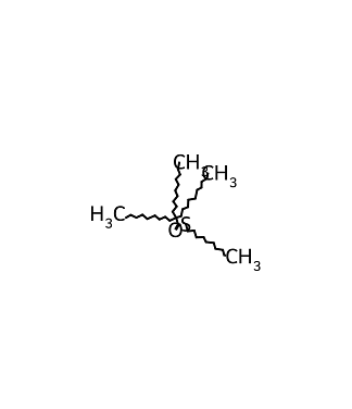 CCCCCCCCCCSC(=O)C(CCCCCCCCCC)(CCCCCCCCCC)CCCCCCCCCC